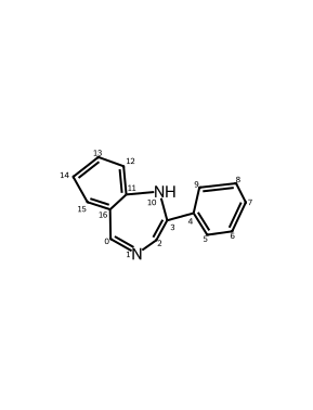 C1=NC=C(c2ccccc2)Nc2ccccc21